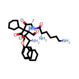 C[C@H](NC(=O)[C@@H](N)CCCCN)C(=O)C(C(=O)COc1ccccc1)(C1CCCCC1)[C@](N)([C]=O)C(=O)[C@@H](N)CC1CCCCC1